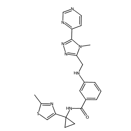 Cc1nc(C2(NC(=O)c3cccc(NCc4nnc(-c5ccncn5)n4C)c3)CC2)cs1